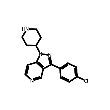 Clc1ccc(-c2nn(C3CCNCC3)c3ccncc23)cc1